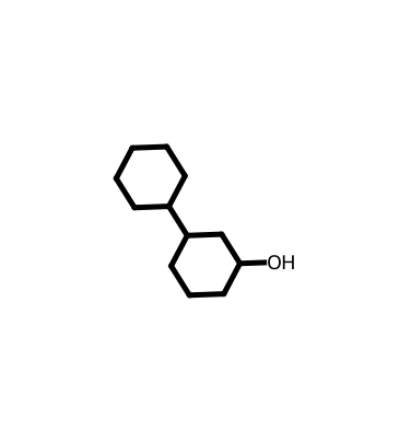 OC1CCCC(C2CCCCC2)C1